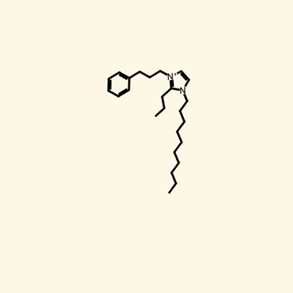 CCCCCCCCCCn1cc[n+](CCCc2ccccc2)c1CCC